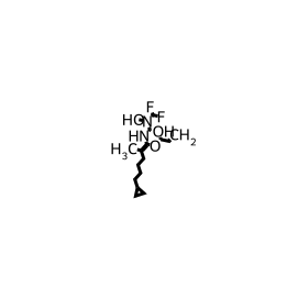 C=CC(O)O/C(NCN(O)C(F)F)=C(/C)CCCCC1CC1